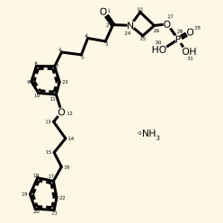 N.O=C(CCCCc1cccc(OCCCCc2ccccc2)c1)N1CC(OP(=O)(O)O)C1